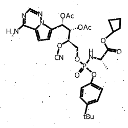 CC(=O)O[C@H]([C@@H](COP(=O)(N[C@@H](C)C(=O)OC1CCC1)Oc1ccc(C(C)(C)C)cc1)OC#N)[C@@H](OC(C)=O)c1ccc2c(N)ncnn12